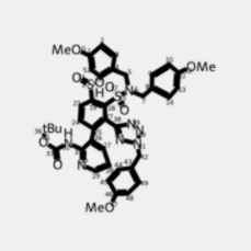 COc1ccc(CN(Cc2ccc(OC)cc2)S(=O)(=O)c2c(S(=O)O)ccc(-c3cccnc3NC(=O)OC(C)(C)C)c2-c2nnn(Cc3ccc(OC)cc3)n2)cc1